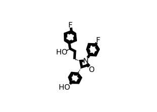 O=C1[C@H](c2ccc(O)cc2)[C@H](CC[C@H](O)c2ccc(F)cc2)N1c1ccc(F)cc1